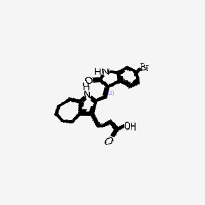 O=C(O)CCc1c(/C=C2\C(=O)Nc3cc(Br)ccc32)[nH]c2c1CCCCC2